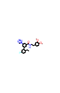 CCc1ccc(F)cc1-c1cc(C(=O)NCCc2ccc(OC)c(OC)c2)cc(-n2cnnn2)c1